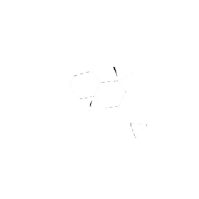 C[C@@H]1CC[C@@H]2[C@@H](C1)O[C@@H](C1CC1)C[C@@]2(C)O